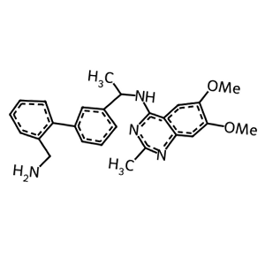 COc1cc2nc(C)nc(NC(C)c3cccc(-c4ccccc4CN)c3)c2cc1OC